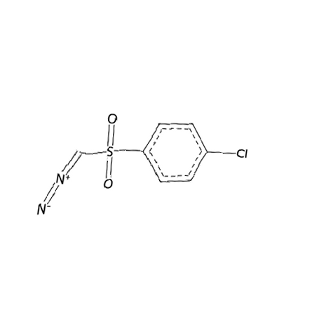 [N-]=[N+]=CS(=O)(=O)c1ccc(Cl)cc1